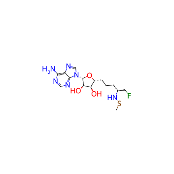 CSN[C@H](CF)CCC[C@H]1O[C@@H](n2cnc3c(N)ncnc32)[C@H](O)[C@@H]1O